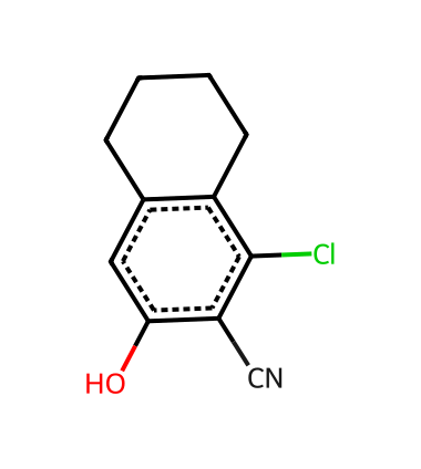 N#Cc1c(O)cc2c(c1Cl)CCCC2